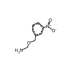 NCOCc1cccc([N+](=O)[O-])c1